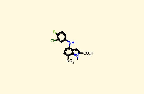 Cn1c(C(=O)O)cc2c(Nc3ccc(F)c(Cl)c3)ccc([N+](=O)[O-])c21